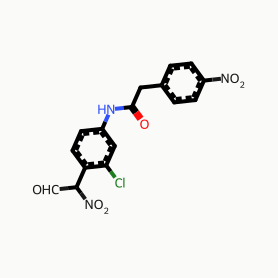 O=CC(c1ccc(NC(=O)Cc2ccc([N+](=O)[O-])cc2)cc1Cl)[N+](=O)[O-]